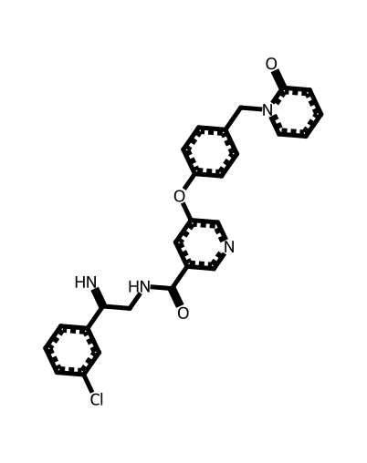 N=C(CNC(=O)c1cncc(Oc2ccc(Cn3ccccc3=O)cc2)c1)c1cccc(Cl)c1